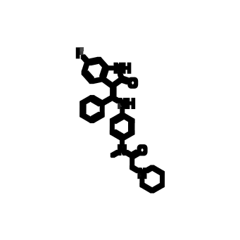 CN(C(=O)CN1CCCCC1)c1ccc(N/C(=C2\C(=O)Nc3cc(F)ccc32)c2ccccc2)cc1